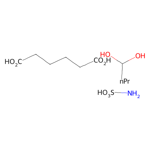 CCCC(O)O.NS(=O)(=O)O.O=C(O)CCCCC(=O)O